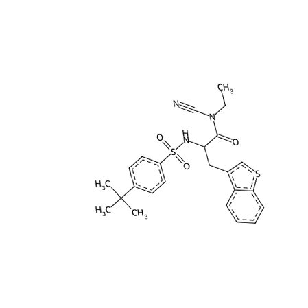 CCN(C#N)C(=O)C(Cc1csc2ccccc12)NS(=O)(=O)c1ccc(C(C)(C)C)cc1